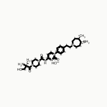 C[C@@H]1CCN(CCc2ccc(-n3ccc(NC(=O)N4CCN(C(=O)[C@](C)(N)CO)CC4)nc3=O)cc2)CC[C@H]1N.Cl